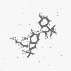 CCC(C)(C)c1cc2cc(NC(=O)C3(c4ccc(C)cc4)CC3(C)C)c(F)cc2n1C[C@@H](O)CO